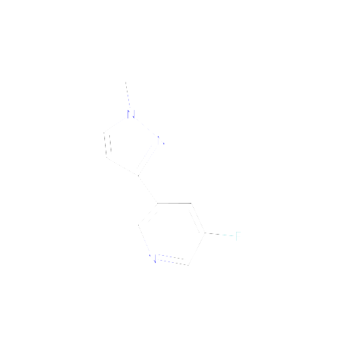 Cn1ccc(-c2cncc(F)c2)n1